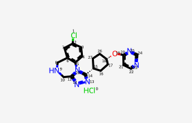 Cl.Clc1ccc2c(c1)CNCc1nnc([C@H]3CC[C@@H](Oc4ccncn4)CC3)n1-2